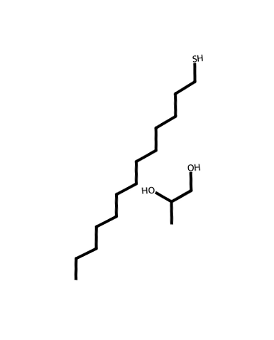 CC(O)CO.CCCCCCCCCCCCCS